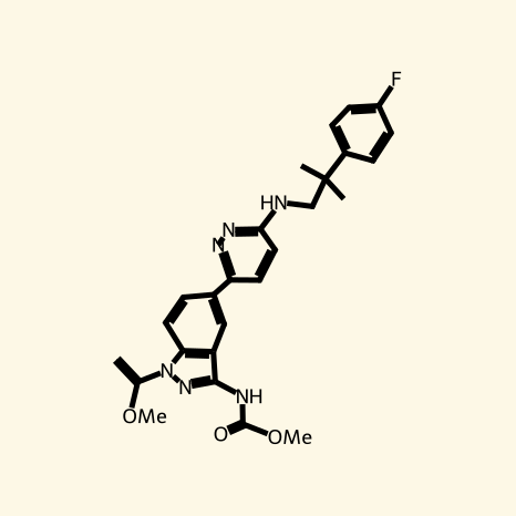 C=C(OC)n1nc(NC(=O)OC)c2cc(-c3ccc(NCC(C)(C)c4ccc(F)cc4)nn3)ccc21